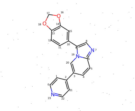 c1cc(-c2ccc3ncc(-c4ccc5c(c4)OCO5)n3c2)ccn1